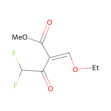 CCOC=C(C(=O)OC)C(=O)C(F)F